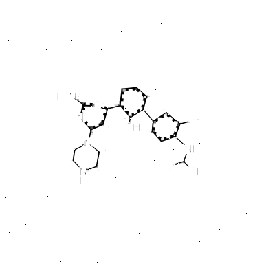 CC(O)Nc1ccc(-c2cccc(-c3cc(N)nc(N4CCNCC4)c3)c2O)cc1F